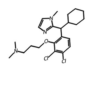 CN(C)CCCOc1c(C(c2nccn2C)C2CCCCC2)ccc(Cl)c1Cl